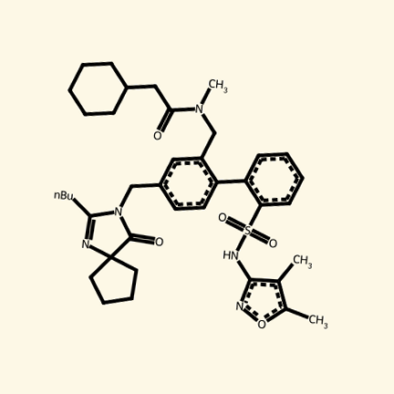 CCCCC1=NC2(CCCC2)C(=O)N1Cc1ccc(-c2ccccc2S(=O)(=O)Nc2noc(C)c2C)c(CN(C)C(=O)CC2CCCCC2)c1